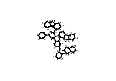 c1ccc(-c2nc(-c3ccc(-n4c5ccccc5c5cc6ccccc6cc54)cc3-c3cccc4c3oc3ccccc34)nc(-c3cccc4oc5ccccc5c34)n2)cc1